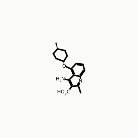 Cc1nc2cccc(O[C@H]3CC[C@H](C)CC3)c2c(N)c1C(=O)O